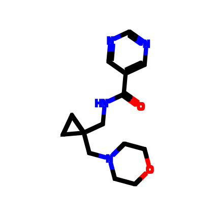 O=C(NCC1(CN2CCOCC2)CC1)c1cncnc1